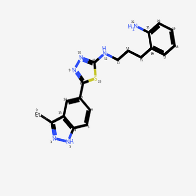 CCc1n[nH]c2ccc(-c3nnc(NCCCc4ccccc4N)s3)cc12